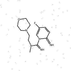 CN(CCN1CCOCC1)C(=N)n1cc(F)ccc1=N